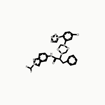 O=C(Nc1ccc2nn(C(F)F)cc2c1)C(Cc1ccccc1)N1CON(c2cc(Cl)ccc2-n2cnnn2)CO1